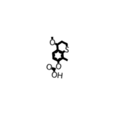 COC1CCSc2c1ccc(OC(=O)O)c2C